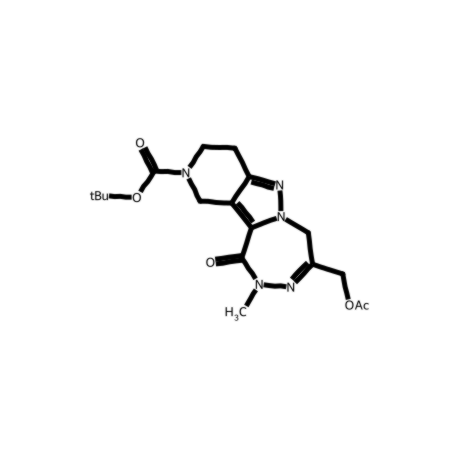 CC(=O)OCC1=NN(C)C(=O)c2c3c(nn2C1)CCN(C(=O)OC(C)(C)C)C3